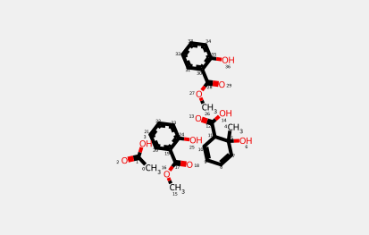 CC(=O)O.CC1(O)C=CC=CC1C(=O)O.COC(=O)c1ccccc1O.COC(=O)c1ccccc1O